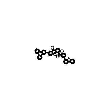 O=c1c2cc(-c3ccc4c5ccccc5c5ccccc5c4c3)ccc2oc2c1ccc1oc3ccc(-c4cccc5c4sc4ccccc45)cc3c(=O)c12